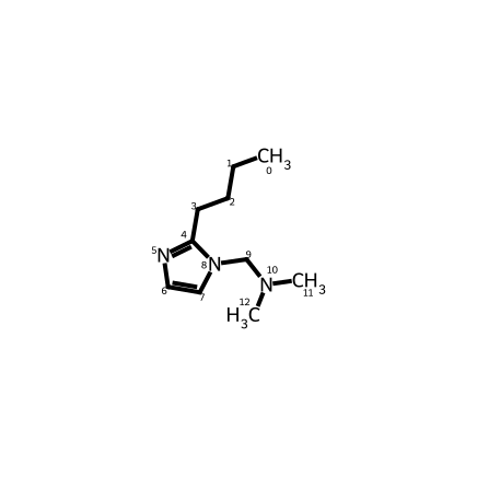 CCCCc1nccn1CN(C)C